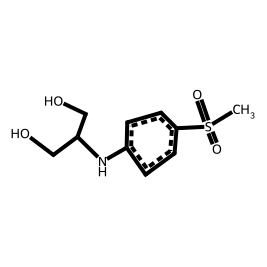 CS(=O)(=O)c1ccc(NC(CO)CO)cc1